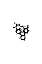 CC(C)N1CC(=O)N(C)c2cnc(-c3nccnc3-c3ccc(F)cc3)nc21